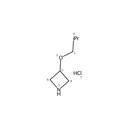 CC(C)COC1CNC1.Cl